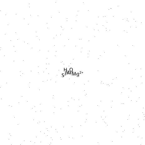 O.[Mg+2].[Na+].[S-2]